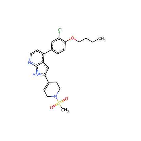 CCCCOc1ccc(-c2ccnc3[nH]c(C4=CCN(S(C)(=O)=O)CC4)cc23)cc1Cl